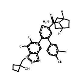 N#Cc1ccc(-c2cc(C(=O)N3[C@@H]4CC[C@H]3C[C@@H](N)C4)ccc2-c2cc3nnn(CC4(O)CCC4)c3c(Cl)c2F)cc1F